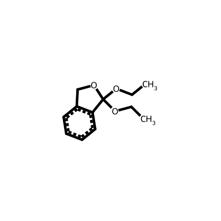 CCOC1(OCC)OCc2ccccc21